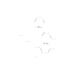 C=C(/N=C(/C)c1cc(OCCOC)c(OC)cc1C)c1cccnc1